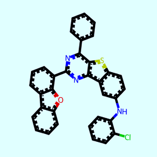 Clc1ccccc1Nc1ccc2sc3c(-c4ccccc4)nc(-c4cccc5c4oc4ccccc45)nc3c2c1